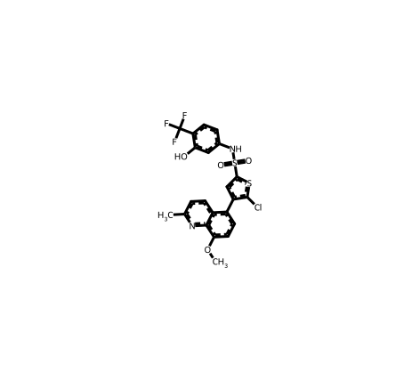 COc1ccc(-c2cc(S(=O)(=O)Nc3ccc(C(F)(F)F)c(O)c3)sc2Cl)c2ccc(C)nc12